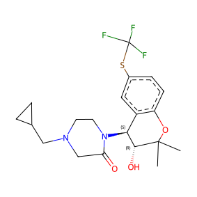 CC1(C)Oc2ccc(SC(F)(F)F)cc2[C@H](N2CCN(CC3CC3)CC2=O)[C@H]1O